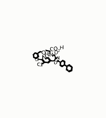 O=C(N[C@@H](COCc1ccccc1)C(=O)O)c1nc(-c2ccc(-c3ccccc3)cc2)oc1-c1cnc(Cl)c(Cl)c1